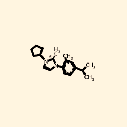 Cc1cc(C(C)C)ccc1N1C=CN(C2CCCC2)[C@H]1C